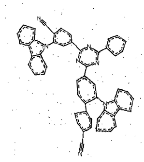 N#Cc1ccc(-c2ccc(-c3nc(-c4ccccc4)nc(-c4ccc(C#N)c(-n5c6ccccc6c6ccccc65)c4)n3)cc2-n2c3ccccc3c3ccccc32)cc1